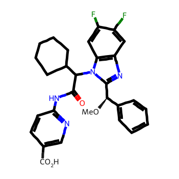 CO[C@H](c1ccccc1)c1nc2cc(F)c(F)cc2n1C(C(=O)Nc1ccc(C(=O)O)cn1)C1CCCCC1